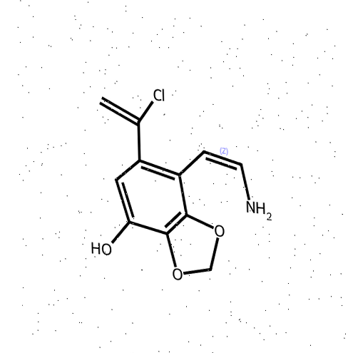 C=C(Cl)c1cc(O)c2c(c1/C=C\N)OCO2